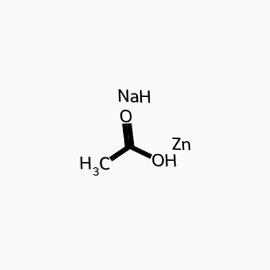 CC(=O)O.[NaH].[Zn]